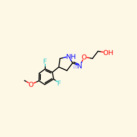 COc1cc(F)c(C2CN/C(=N\OCCO)C2)c(F)c1